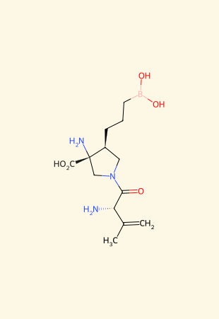 C=C(C)[C@H](N)C(=O)N1C[C@H](CCCB(O)O)[C@](N)(C(=O)O)C1